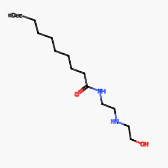 CCCCCCCCCCCCCCCCCC(=O)NCCNCCO